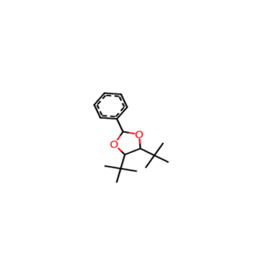 CC(C)(C)C1OC(c2ccccc2)OC1C(C)(C)C